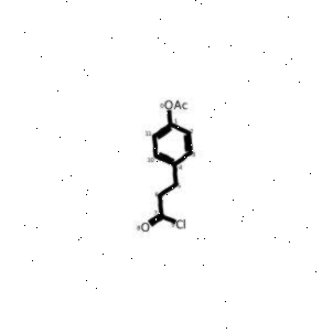 CC(=O)Oc1ccc(CCC(=O)Cl)cc1